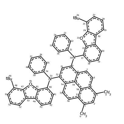 Cc1cc(C)c2ccc3c(N(c4ccccc4)c4cccc5c4oc4c(C(C)(C)C)cccc45)cc(N(c4ccccc4)c4cccc5c4oc4c(C(C)(C)C)cccc45)c4ccc1c2c43